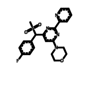 CS(=O)(=O)C(c1ccc(F)cc1)c1cc(N2CCOCC2)nc(-c2ccccn2)n1